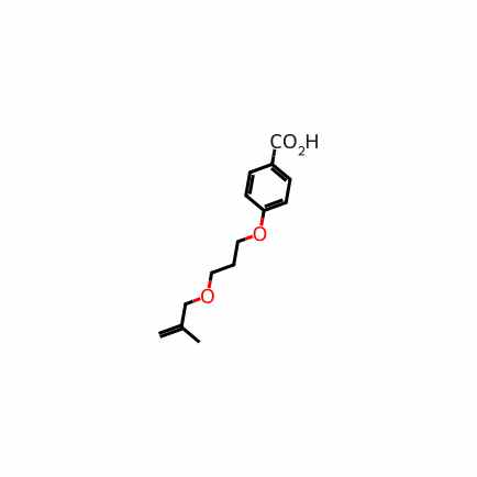 C=C(C)COCCCOc1ccc(C(=O)O)cc1